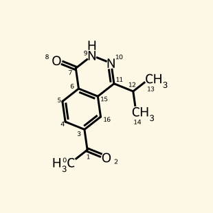 CC(=O)c1ccc2c(=O)[nH]nc(C(C)C)c2c1